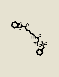 CN(C)[C@@H](CS(=O)(=O)Cc1ccccc1)C(=O)NCCCCC(=O)c1nc2ccccc2o1